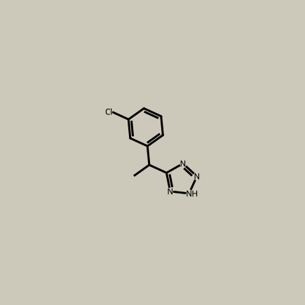 CC(c1cccc(Cl)c1)c1nn[nH]n1